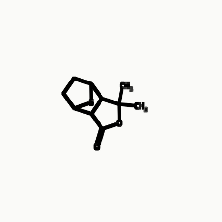 CC1(C)OC(=O)C2C3CCC(S3)C21